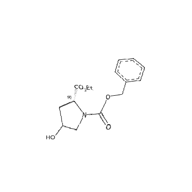 CCOC(=O)[C@H]1CC(O)CN1C(=O)OCc1ccccc1